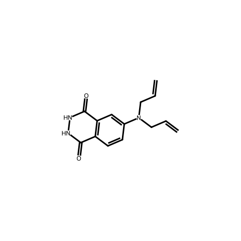 C=CCN(CC=C)c1ccc2c(=O)[nH][nH]c(=O)c2c1